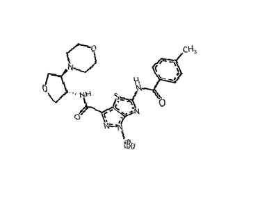 Cc1ccc(C(=O)Nc2nc3c(s2)c(C(=O)N[C@@H]2COC[C@H]2N2CCOCC2)nn3C(C)(C)C)cc1